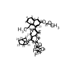 CCc1cccc2cc(OCOC)cc(-c3ncc4c(N5CC6CCC(C6)C5)nc(OS(=O)(=O)C(F)(F)F)nc4c3F)c12